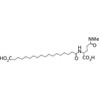 CNC(=O)CCC(NC(=O)CCCCCCCCCCCCCCCCC(=O)O)C(=O)O